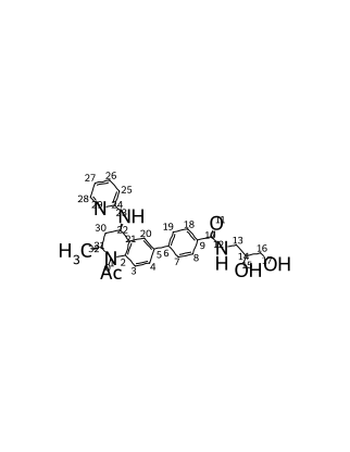 CC(=O)N1c2ccc(-c3ccc(C(=O)NCC(O)CO)cc3)cc2[C@H](Nc2ccccn2)C[C@@H]1C